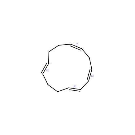 [C]1=C/CC/C=C/C=C\C/C=C\CC/1